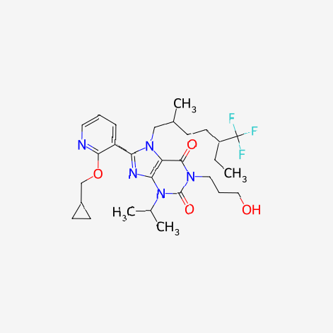 CCC(CCC(C)Cn1c(-c2cccnc2OCC2CC2)nc2c1c(=O)n(CCCO)c(=O)n2C(C)C)C(F)(F)F